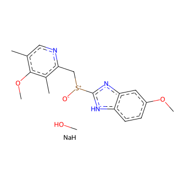 CO.COc1ccc2[nH]c([S+]([O-])Cc3ncc(C)c(OC)c3C)nc2c1.[NaH]